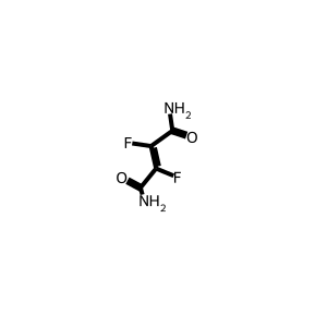 NC(=O)/C(F)=C(\F)C(N)=O